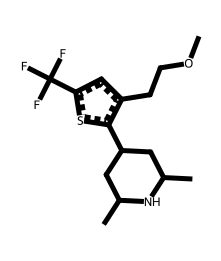 COCCc1cc(C(F)(F)F)sc1C1CC(C)NC(C)C1